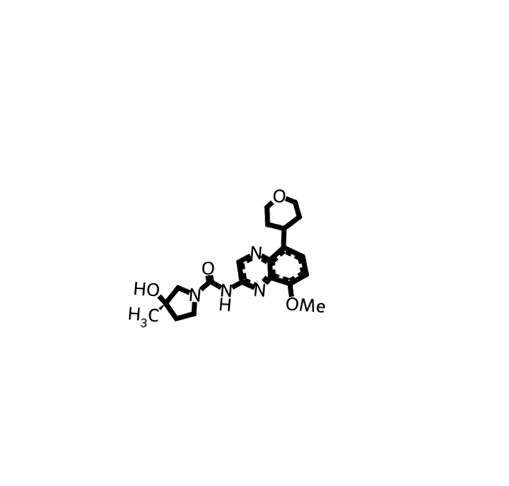 COc1ccc(C2CCOCC2)c2ncc(NC(=O)N3CC[C@@](C)(O)C3)nc12